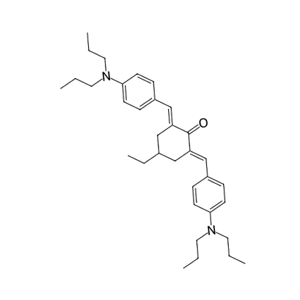 CCCN(CCC)c1ccc(C=C2CC(CC)CC(=Cc3ccc(N(CCC)CCC)cc3)C2=O)cc1